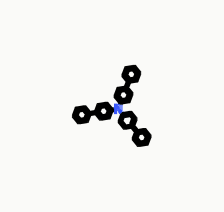 C1=C(c2ccccc2)CCC(N(c2ccc(-c3ccccc3)cc2)c2ccc(-c3ccccc3)cc2)=C1